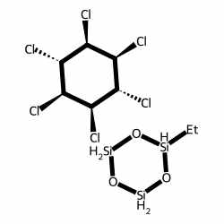 CC[SiH]1O[SiH2]O[SiH2]O1.Cl[C@H]1[C@H](Cl)[C@@H](Cl)[C@@H](Cl)[C@H](Cl)[C@H]1Cl